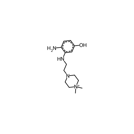 C[N+]1(C)CCN(CCNc2cc(O)ccc2N)CC1